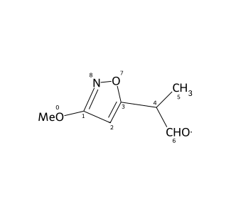 COc1cc(C(C)[C]=O)on1